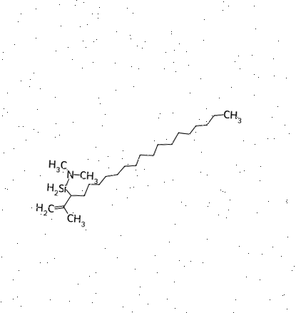 C=C(C)C(CCCCCCCCCCCCCCCCC)[SiH2]N(C)C